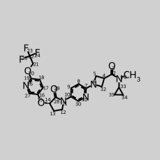 CN(C(=O)C1CN(c2ccc(N3CC[C@@H](Oc4ccc(OCC(F)(F)F)nc4)C3=O)cn2)C1)C1CC1